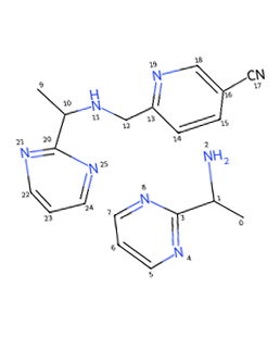 CC(N)c1ncccn1.CC(NCc1ccc(C#N)cn1)c1ncccn1